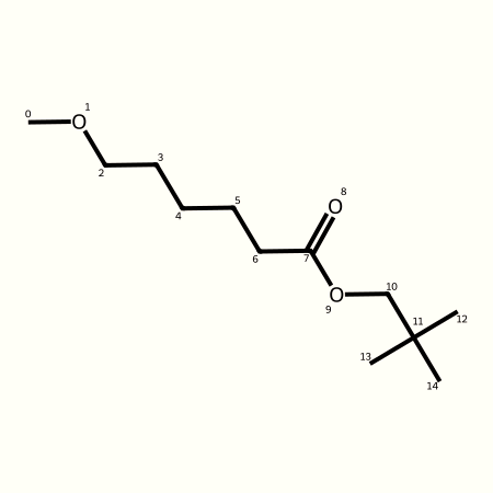 COCCCCCC(=O)OCC(C)(C)C